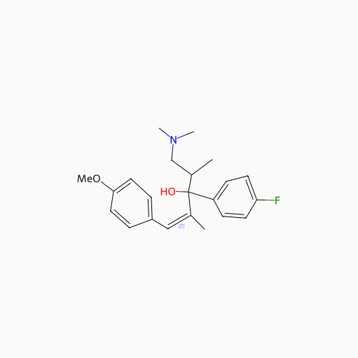 COc1ccc(/C=C(/C)C(O)(c2ccc(F)cc2)C(C)CN(C)C)cc1